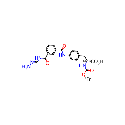 CC(C)OC(=O)N[C@@H](Cc1ccc(NC(=O)c2cccc(C(=O)NC=NN)c2)cc1)C(=O)O